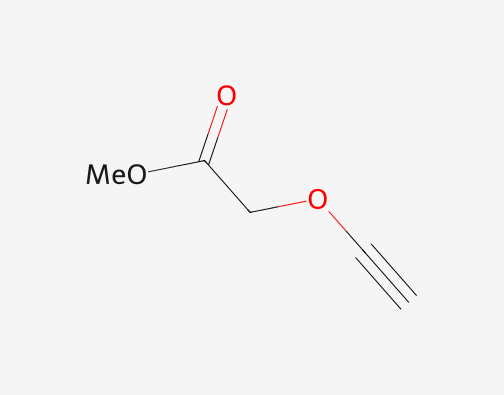 C#COCC(=O)OC